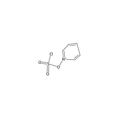 O=S(=O)(Cl)O[n+]1ccccc1